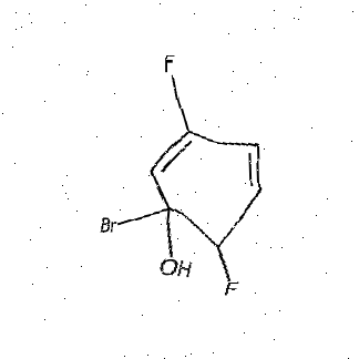 OC1(Br)C=C(F)C=CC1F